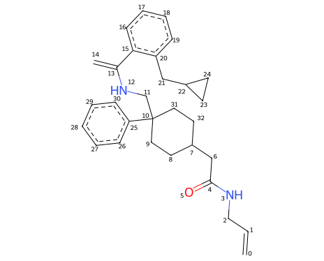 C=CCNC(=O)CC1CCC(CNC(=C)c2ccccc2CC2CC2)(c2ccccc2)CC1